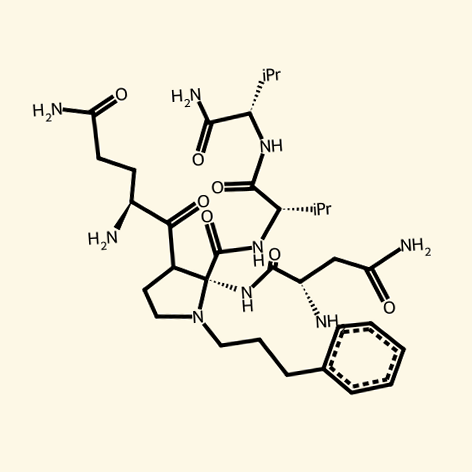 CC(C)[C@H](NC(=O)[C@@H](NC(=O)[C@]1(NC(=O)[C@@H](N)CC(N)=O)C(C(=O)[C@@H](N)CCC(N)=O)CCN1CCCc1ccccc1)C(C)C)C(N)=O